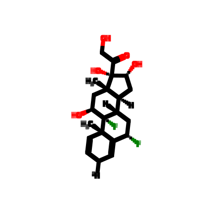 [2H]C1C=C[C@@]2(C)C(=C1)[C@@H](F)C[C@H]1[C@@H]3C[C@@H](O)[C@](O)(C(=O)CO)[C@@]3(C)C[C@H](O)[C@@]12F